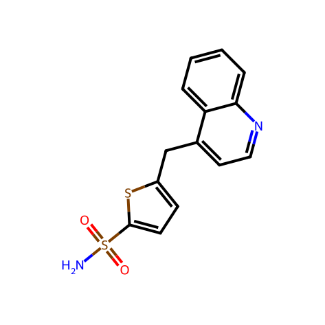 NS(=O)(=O)c1ccc(Cc2ccnc3ccccc23)s1